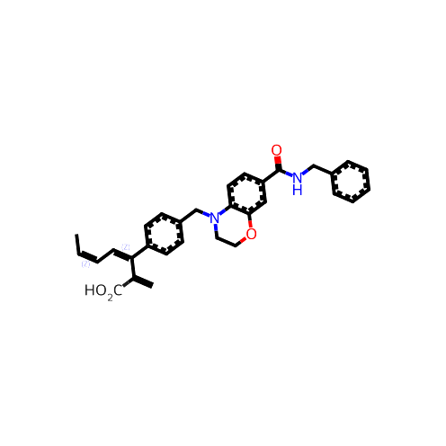 C=C(C(=O)O)/C(=C\C=C/C)c1ccc(CN2CCOc3cc(C(=O)NCc4ccccc4)ccc32)cc1